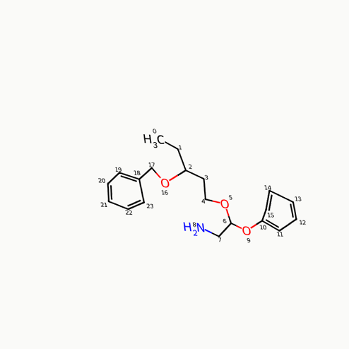 CCC(CCOC(CN)Oc1ccccc1)OCc1ccccc1